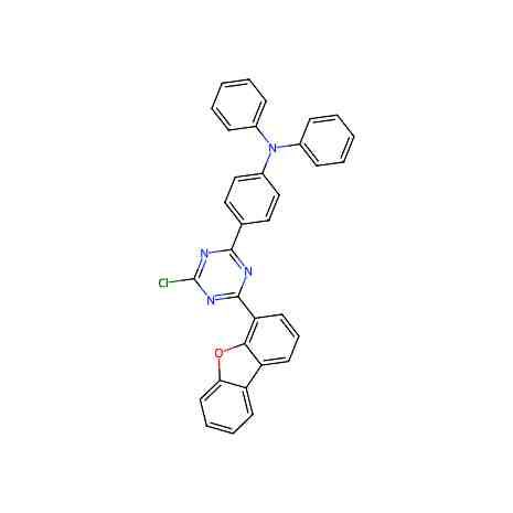 Clc1nc(-c2ccc(N(c3ccccc3)c3ccccc3)cc2)nc(-c2cccc3c2oc2ccccc23)n1